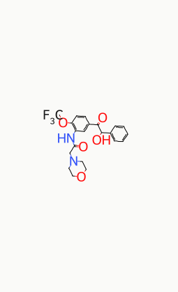 O=C(CN1CCOCC1)Nc1cc(C(=O)C(O)c2ccccc2)ccc1OC(F)(F)F